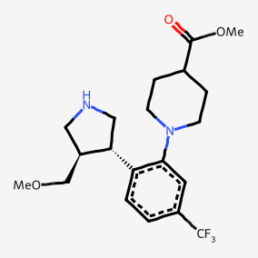 COC[C@H]1CNC[C@@H]1c1ccc(C(F)(F)F)cc1N1CCC(C(=O)OC)CC1